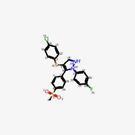 CS(=O)(=O)c1ccc(C2=C(Sc3ccc(Cl)cc3)CNN2c2ccc(F)cc2)cc1